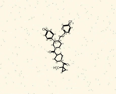 CC1(C(=O)N2CCC(C(=O)N3CC[C@H](COc4ccc(C(F)(F)F)cn4)[C@H](c4ccc(Cl)cc4)C3)CC2)CC1